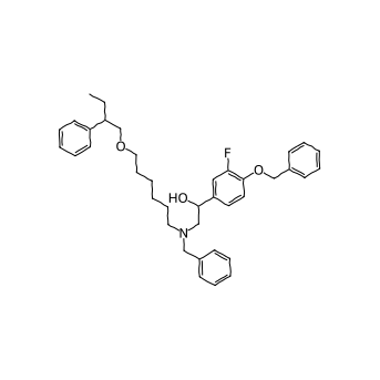 CCC(COCCCCCCN(Cc1ccccc1)CC(O)c1ccc(OCc2ccccc2)c(F)c1)c1ccccc1